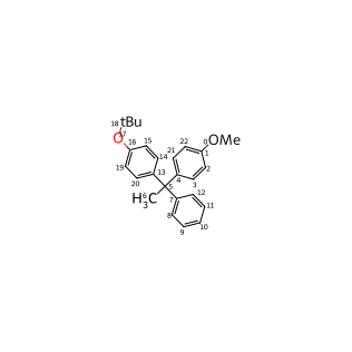 COc1ccc(C(C)(c2ccccc2)c2ccc(OC(C)(C)C)cc2)cc1